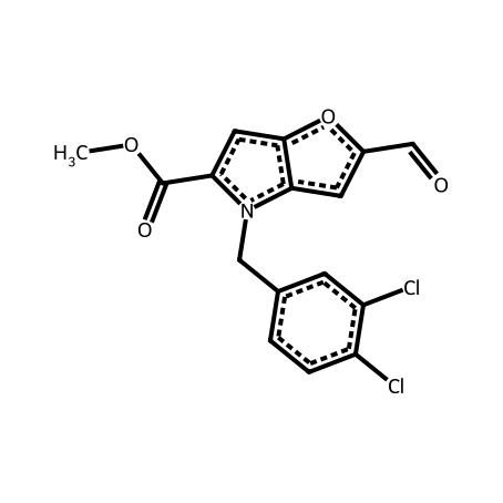 COC(=O)c1cc2oc(C=O)cc2n1Cc1ccc(Cl)c(Cl)c1